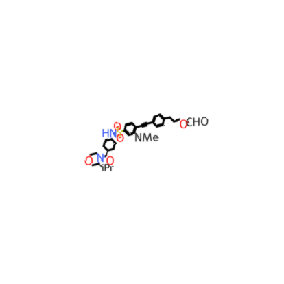 CNc1cc(S(=O)(=O)N[C@H]2CC[C@H](C(=O)N3CCOC[C@@H]3C(C)C)CC2)ccc1C#Cc1ccc(CCCOC=O)cc1